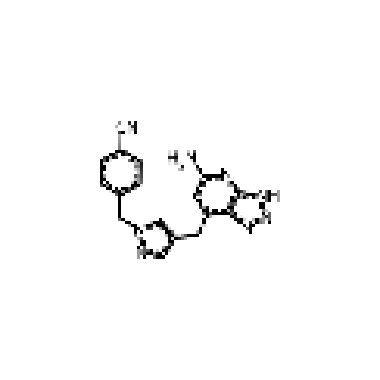 N#Cc1ccc(Cn2cc(Cc3cc(N)nc4[nH]nnc34)cn2)cc1